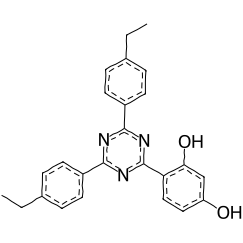 CCc1ccc(-c2nc(-c3ccc(CC)cc3)nc(-c3ccc(O)cc3O)n2)cc1